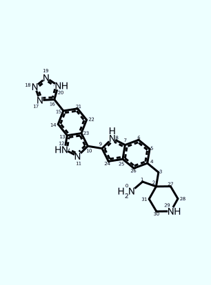 NCC1(Cc2ccc3[nH]c(-c4n[nH]c5cc(-c6nnn[nH]6)ccc45)cc3c2)CCNCC1